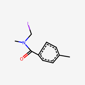 Cc1ccc(C(=O)N(C)CI)cc1